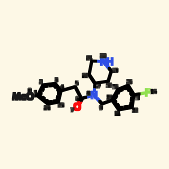 COc1ccc(CC(=O)N(Cc2ccc(F)cc2)C2CCNCC2)cc1